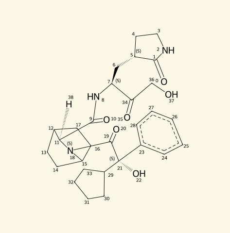 O=C1NCC[C@H]1C[C@H](NC(=O)[C@@H]1C2CCC(CC2)N1C(=O)[C@@](O)(c1ccccc1)C1CCCC1)C(=O)CO